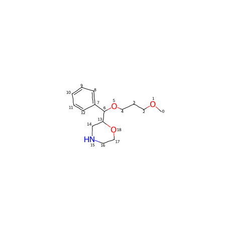 COCCCOC(c1ccccc1)C1CNCCO1